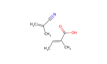 C/C=C(\C)C(=O)O.C=C(C)C#N